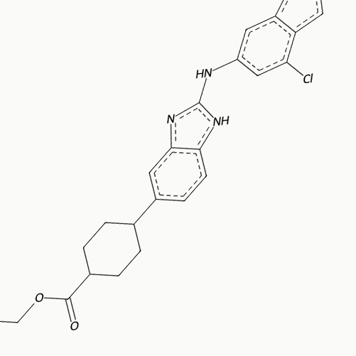 CCOC(=O)C1CCC(c2ccc3[nH]c(Nc4cc(Cl)c5cc[nH]c5c4)nc3c2)CC1